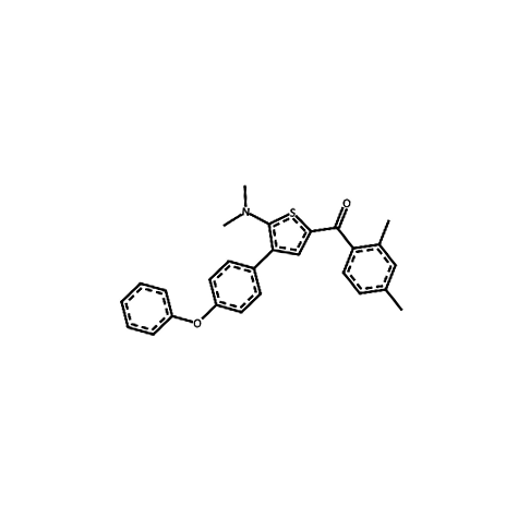 Cc1ccc(C(=O)c2cc(-c3ccc(Oc4ccccc4)cc3)c(N(C)C)s2)c(C)c1